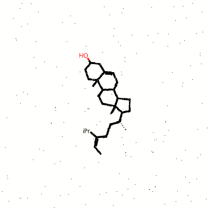 C/C=C(\CC[C@@H](C)C1CCC2C3CC=C4CC(O)CCC4(C)C3CCC21C)C(C)C